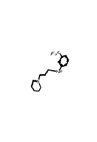 FC(F)(F)c1cccc(NCCCN2CCCCC2)c1